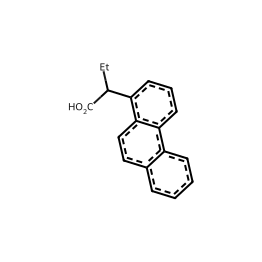 CCC(C(=O)O)c1cccc2c1ccc1ccccc12